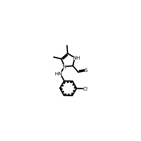 CC1=C(C)N(Nc2cccc(Cl)c2)C(C=S)N1